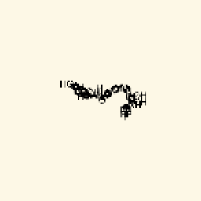 C[C@]12CC[C@@H]3c4ccc(O)cc4CC[C@H]3[C@@H]1CC[C@@]2(O)CCCNC(=O)c1ccc(N2CCC(CN3CCN(C[C@H]4OC[C@H](Nc5ccnc(C(F)(F)F)n5)[C@@H](O)[C@H]4O)CC3)CC2)cc1